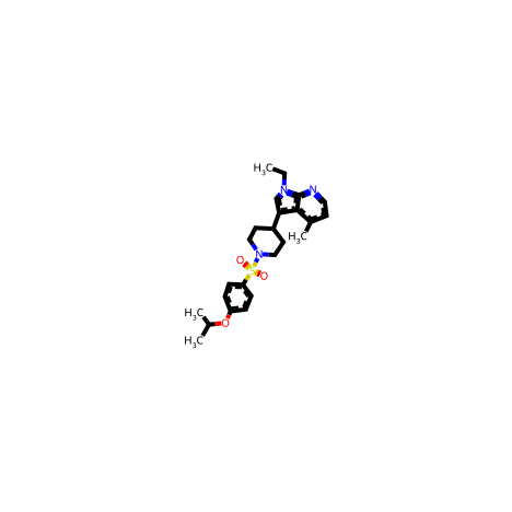 CCn1cc(C2CCN(S(=O)(=O)c3ccc(OC(C)C)cc3)CC2)c2c(C)ccnc21